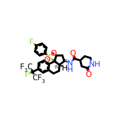 O=C1CC(C(=O)N[C@@H]2CC[C@@]3(S(=O)(=O)c4ccc(F)cc4)c4ccc(C(F)(C(F)(F)F)C(F)(F)F)cc4CC[C@@H]23)CCN1